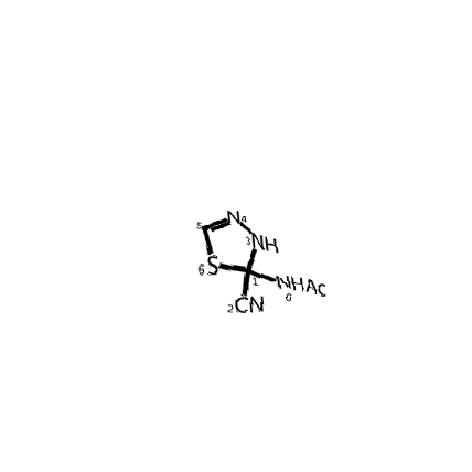 CC(=O)NC1(C#N)NN=CS1